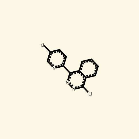 Clc1ccc(-c2nnc(Cl)c3ccccc23)nc1